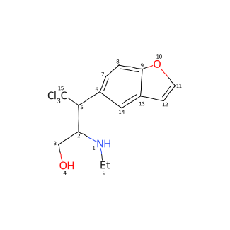 CCNC(CO)C(c1ccc2occc2c1)C(Cl)(Cl)Cl